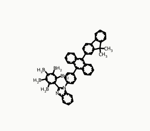 Bc1c(B)c(B)c(-c2nc3ccccc3n2-c2ccc(-c3c4ccccc4c(-c4ccc5c(c4)C(C)(C)c4ccccc4-5)c4ccccc34)cc2)c(B)c1B